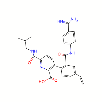 C=Cc1ccc(-c2ccc(C(=O)NCC(C)C)nc2C(=O)O)c(C(=O)Nc2ccc(C(=N)N)cc2)c1